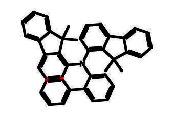 CC1(C)c2ccccc2-c2cccc(N(c3ccccc3-c3ccccc3)c3cccc4c3C(C)(C)c3ccccc3-4)c21